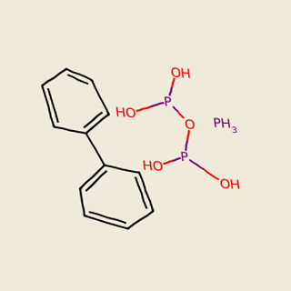 OP(O)OP(O)O.P.c1ccc(-c2ccccc2)cc1